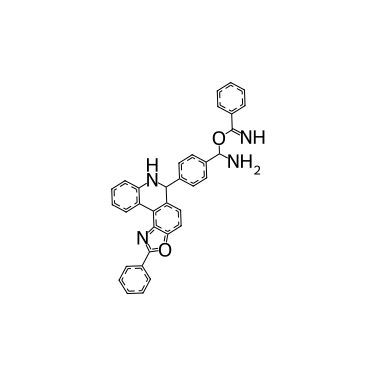 N=C(OC(N)c1ccc(C2Nc3ccccc3-c3c2ccc2oc(-c4ccccc4)nc32)cc1)c1ccccc1